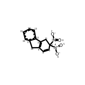 O=[N+]([O-])C1([N+](=O)[O-])C=CC2=C(C1)c1ccccc1C2